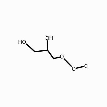 OCC(O)COOCl